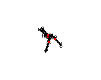 CCC(COCC(C)(COC(=O)NCCCCCCOC#N)COC(=O)NCCCCCCOC#N)(COC(=O)NCCCCCCN=C=O)COC(=O)NCCCCCCN=C=O